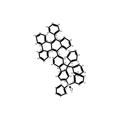 O=P(c1ccccc1)(c1ccccc1)c1ccc2c(c1)C(c1ccccc1)(c1ccccc1)c1cc(-c3c4ccccc4c(-c4ccccc4)c4c5ccccc5c5ccccc5c34)ccc1-2